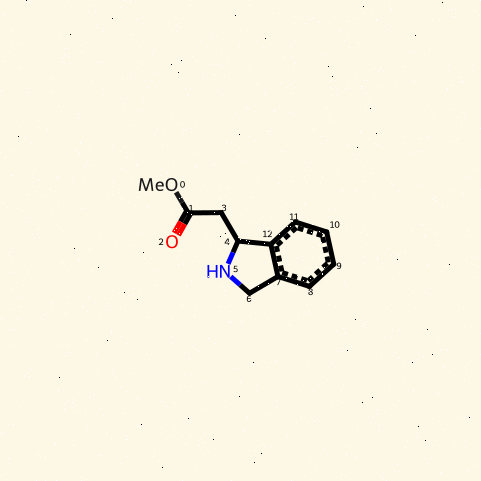 COC(=O)CC1NCc2ccccc21